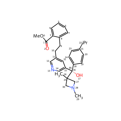 COC(=O)c1ccccc1CCc1cncc([C@@](O)(c2ccc(C(C)C)cc2)C2(C)CN(C)C2)c1